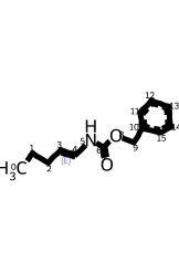 CCC/C=C/NC(=O)OCc1ccccc1